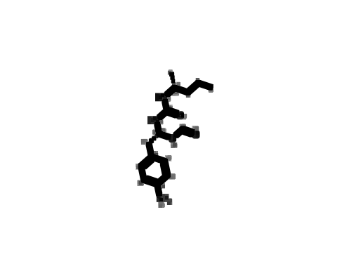 CCC[C@@H](C)NC(=O)N[C@@H](Cc1ccc(N)cc1)OC=O